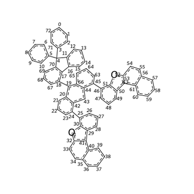 c1ccc(C2(c3ccccc3)c3ccccc3-c3c(-c4c5cccc(-c6cccc7c6oc6ccc8ccccc8c67)c5cc5c(-c6cccc7c6oc6ccc8ccccc8c67)cccc45)cccc32)cc1